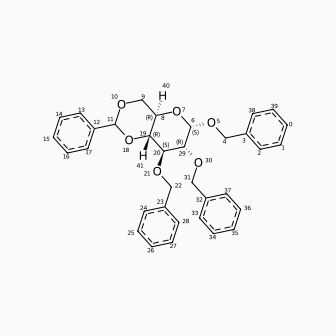 c1ccc(CO[C@H]2O[C@@H]3COC(c4ccccc4)O[C@H]3[C@H](OCc3ccccc3)[C@H]2OCc2ccccc2)cc1